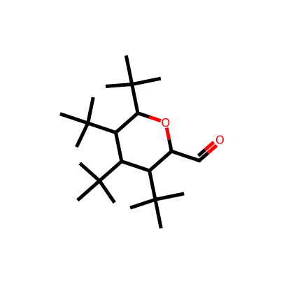 CC(C)(C)C1OC(C=O)C(C(C)(C)C)C(C(C)(C)C)C1C(C)(C)C